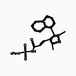 CCCCCS(=O)(=O)NC(=O)C=Cc1c(C)nn(C)c1-c1cccc2ccccc12